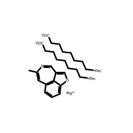 CC1=Cc2cccc3occ(c23)C=N1.CCCCCCCCCCCCCCCCCC(=O)[O-].CCCCCCCCCCCCCCCCCC(=O)[O-].[Mg+2]